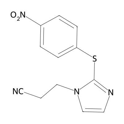 N#CCCn1ccnc1Sc1ccc([N+](=O)[O-])cc1